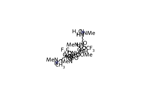 C/N=C(/NC)NCCCCC(=O)Nc1cc(C(F)(F)F)cc(NC(=O)c2cc(C(=O)Nc3cc(C(F)(F)F)cc(NC(=O)CCCCC/C(=N\C)NC)c3SCCNC)c(OC)cc2OC)c1SCCNC